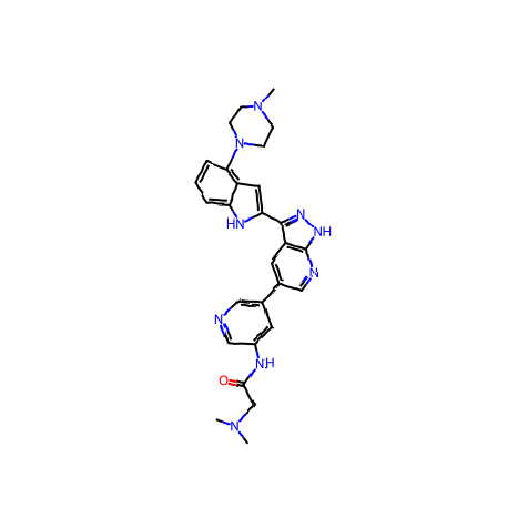 CN(C)CC(=O)Nc1cncc(-c2cnc3[nH]nc(-c4cc5c(N6CCN(C)CC6)cccc5[nH]4)c3c2)c1